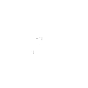 c1ccc(CNc2cncc(-c3ccccc3)c2)cc1